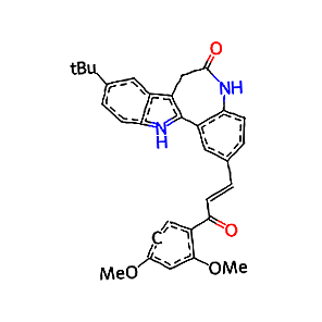 COc1ccc(C(=O)C=Cc2ccc3c(c2)-c2[nH]c4ccc(C(C)(C)C)cc4c2CC(=O)N3)c(OC)c1